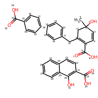 CC1(O)C=CC(C(=O)O)=C(Cc2ccccc2)C1.O=C(O)c1ccc2ccccc2c1O.O=C(O)c1ccccc1